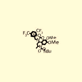 CCCCOC(=O)N1c2cc(OC)c(OC)cc2C(N(Cc2cc(C(F)(F)F)cc(C(F)(F)F)c2)C(=O)OC)CC1C